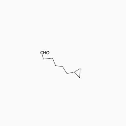 O=[C]CCCCCC1CC1